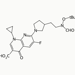 CC(C)(C)ON(C=O)CCC1CCN(c2nc3c(cc2F)c(=O)c(C(=O)O)cn3C2CC2)C1